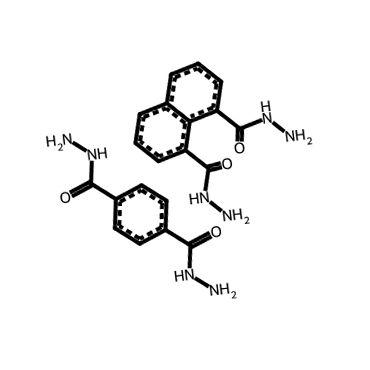 NNC(=O)c1ccc(C(=O)NN)cc1.NNC(=O)c1cccc2cccc(C(=O)NN)c12